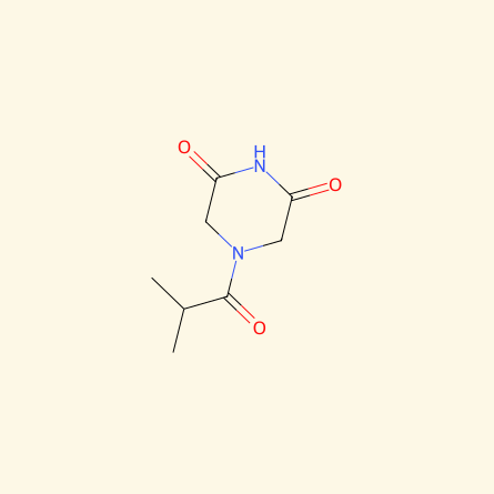 CC(C)C(=O)N1CC(=O)NC(=O)C1